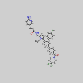 Cn1c(CNC(=O)/C=C/c2ccc(N)nc2)ccc1-c1ccc(-c2ccc(C(=O)N3CCC(F)(F)CC3)cc2)cc1-c1ccc(F)cc1